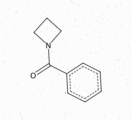 O=C(c1[c]cccc1)N1CCC1